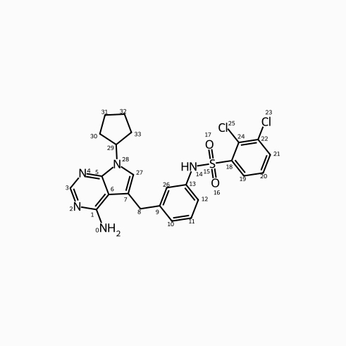 Nc1ncnc2c1c(Cc1cccc(NS(=O)(=O)c3cccc(Cl)c3Cl)c1)cn2C1CCCC1